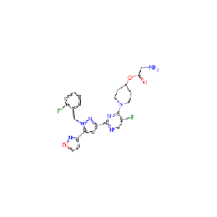 NCC(=O)OC1CCN(c2nc(-c3cc(-c4ccon4)n(Cc4ccccc4F)n3)ncc2F)CC1